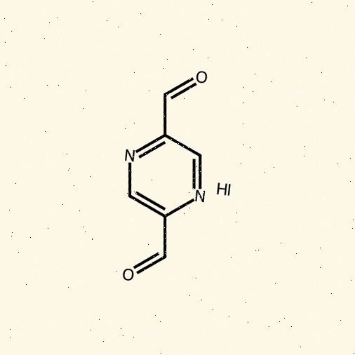 I.O=Cc1cnc(C=O)cn1